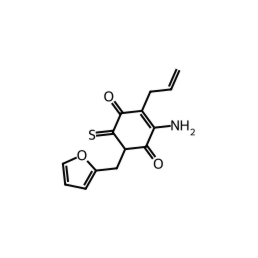 C=CCC1=C(N)C(=O)C(Cc2ccco2)C(=S)C1=O